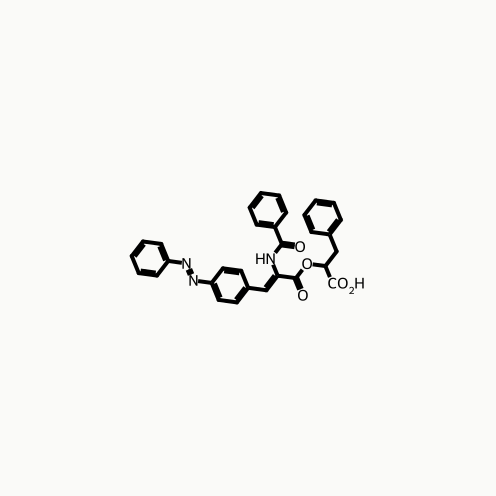 O=C(OC(Cc1ccccc1)C(=O)O)C(=Cc1ccc(N=Nc2ccccc2)cc1)NC(=O)c1ccccc1